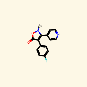 CC(=O)n1oc(=O)c(-c2ccc(F)cc2)c1-c1ccncc1